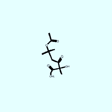 CC(=O)OC(C)(C)CC(=O)C(C)(O)C(=O)O